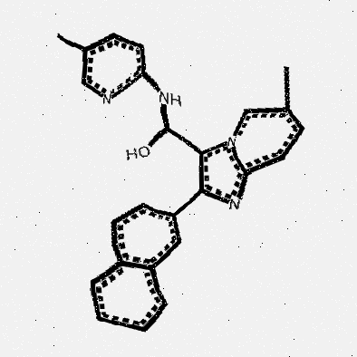 Cc1ccc(NC(O)c2c(-c3ccc4ccccc4c3)nc3ccc(C)cn23)nc1